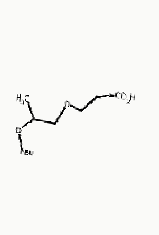 CCCCOC(C)COCCC(=O)O